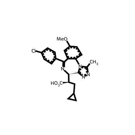 COc1ccc2c(c1)C(c1ccc(Cl)cc1)=N[C@@H]([C@@H](CC1CC1)C(=O)O)c1nnc(C)n1-2